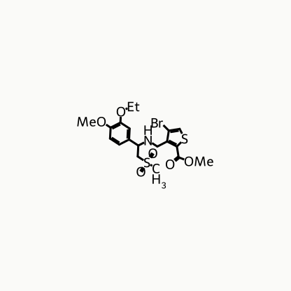 CCOc1cc(C(CS(C)(=O)=O)NCc2c(Br)csc2C(=O)OC)ccc1OC